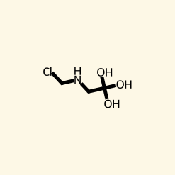 OC(O)(O)CNCCl